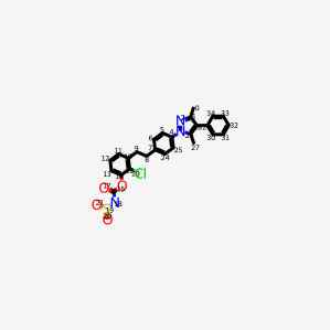 Cc1nn(-c2ccc(CCc3cccc(OC(=O)N=S(=O)=O)c3Cl)cc2)c(C)c1-c1ccccc1